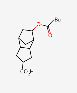 CCC(C)C(=O)OC1CC2CC1C1CC(C(=O)O)CC21